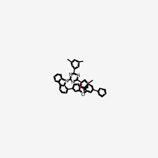 Cc1cc(C)cc(-c2nc(-c3cc(C)cc(C)c3)nc(-n3c4ccccc4c4cccc(-c5ccc6c(c5)oc5cc(-c7ccccc7)ccc56)c43)n2)c1